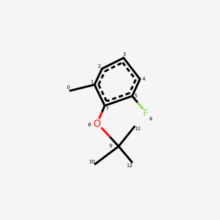 Cc1cccc(F)c1OC(C)(C)C